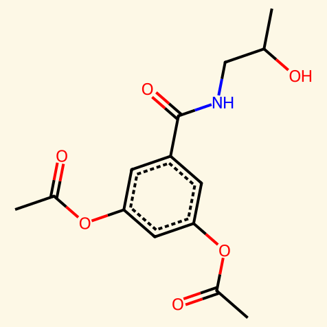 CC(=O)Oc1cc(OC(C)=O)cc(C(=O)NCC(C)O)c1